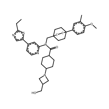 CCc1ncc(-c2ccnc(N(CC34CCC(c5ccc(OC)c(C)c5)(CC3)CC4)C(=O)C3CCC(N4CC(CO)C4)CC3)c2)s1